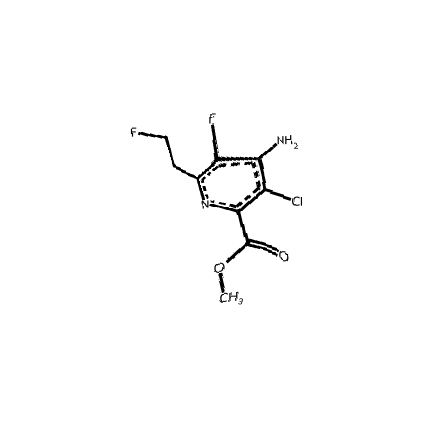 COC(=O)c1nc(CCF)c(F)c(N)c1Cl